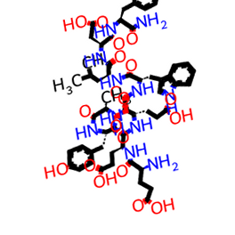 CC(C)C[C@H](NC(=O)[C@H](Cc1c[nH]c2ccccc12)NC(=O)CNC(=O)[C@H](Cc1ccc(O)cc1)NC(=O)[C@H](C)NC(=O)[C@H](CCC(=O)O)NC(=O)[C@H](CCC(=O)O)NC(=O)[C@@H](N)CCC(=O)O)C(=O)N[C@@H](CC(=O)O)C(=O)N[C@@H](Cc1ccccc1)C(N)=O